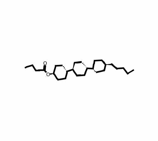 CCCCC[C@H]1CC[C@H]([C@H]2CC[C@H]([C@H]3CC[C@H](OC(=O)CCC)CC3)CC2)CC1